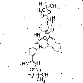 CCOC(=O)c1cc(Cn2c(C(=O)N[C@H]3CC[C@H](NC(=O)OC(C)(C)C)CC3)cc3ccc(C(=N)NC(=O)OC(C)(C)C)cc32)c2ccccc2c1